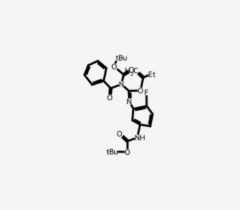 C=C(CC)O/C(=N\c1cc(NC(=O)OC(C)(C)C)ccc1F)N(C(=O)OC(C)(C)C)C(=O)c1ccccc1